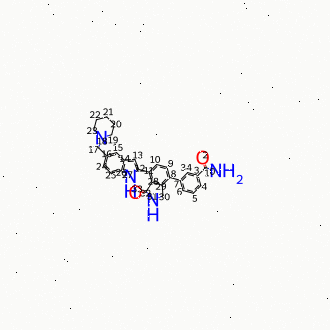 NC(=O)c1cccc(-c2ccc(-c3cc4cc(CN5CCCCC5)ccc4[nH]3)c3c2CNC3=O)c1